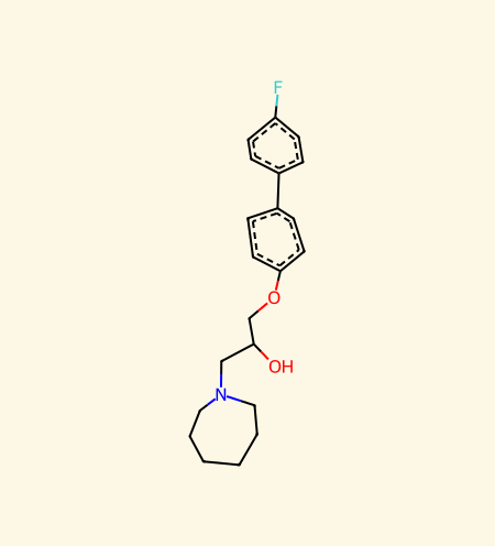 OC(COc1ccc(-c2ccc(F)cc2)cc1)CN1CCCCCC1